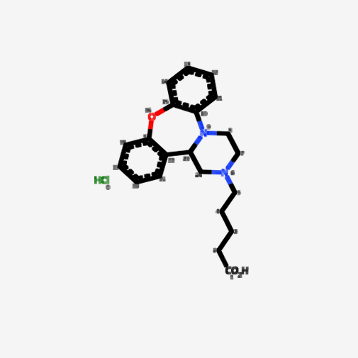 Cl.O=C(O)CCCCN1CCN2c3ccccc3Oc3ccccc3C2C1